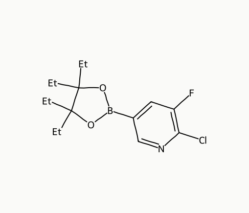 CCC1(CC)OB(c2cnc(Cl)c(F)c2)OC1(CC)CC